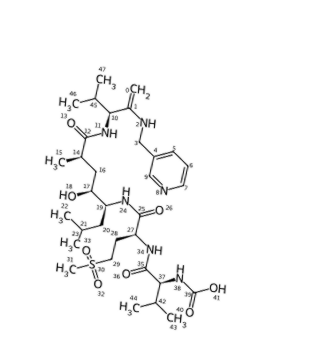 C=C(NCc1cccnc1)[C@@H](NC(=O)[C@H](C)C[C@H](O)[C@H](CC(C)C)NC(=O)[C@H](CCS(C)(=O)=O)NC(=O)[C@@H](NC(=O)O)C(C)C)C(C)C